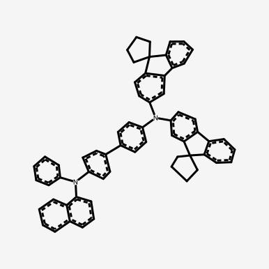 c1ccc(N(c2ccc(-c3ccc(N(c4ccc5c(c4)-c4ccccc4C54CCCC4)c4ccc5c(c4)C4(CCCC4)c4ccccc4-5)cc3)cc2)c2cccc3ccccc23)cc1